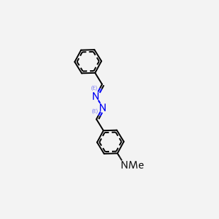 CNc1ccc(/C=N/N=C/c2ccccc2)cc1